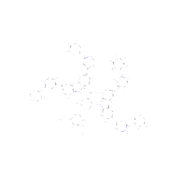 N#Cc1cc(-c2cc(-n3c4ccc(-c5ccnc(-c6ccccc6)c5)cc4c4cc(-c5ccnc(-c6ccccc6)c5)ccc43)c(C#N)c(-n3c4ccc(-c5ccnc(-c6ccccc6)c5)cc4c4cc(-c5ccnc(-c6ccccc6)c5)ccc43)c2)cc(C(F)(F)F)c1